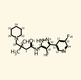 CC(C)(CC(=O)Nc1[nH]nc(-c2cncc(F)c2)c1F)CN1CCCCC1